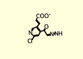 N=[N+]=CC(=O)c1cc(Cl)ncc1C=CC(=O)[O-]